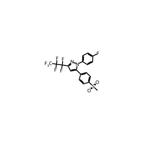 CS(=O)(=O)c1ccc(-c2cc(C(F)(F)C(F)(F)C(F)(F)F)nn2-c2ccc(F)cc2)cc1